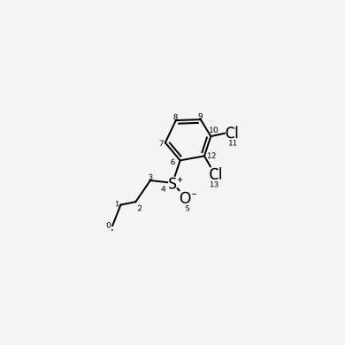 [CH2]CCC[S+]([O-])c1cccc(Cl)c1Cl